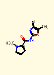 CCc1nc(NC(=O)[C@H]2CCCN2C(=O)O)sc1C